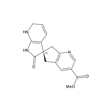 COC(=O)c1cnc2c(c1)C[C@@]1(C2)C(=O)NC2=C1C=CCN2